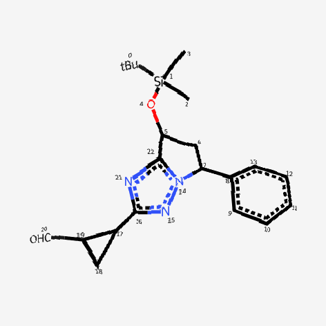 CC(C)(C)[Si](C)(C)OC1CC(c2ccccc2)n2nc(C3CC3C=O)nc21